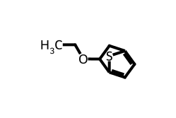 CCOC1Cc2ccc1s2